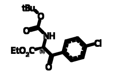 CCOC(=O)[C@@H](NC(=O)OC(C)(C)C)C(=O)c1ccc(Cl)cc1